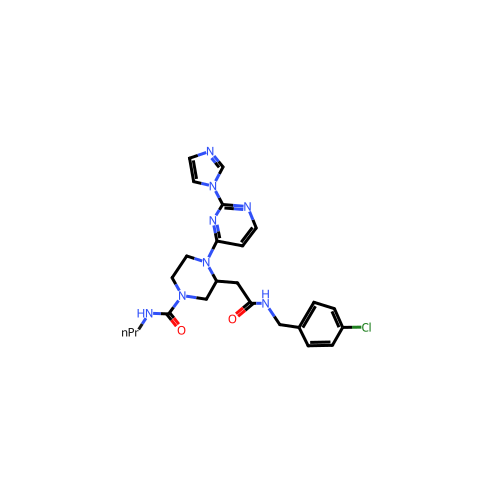 CCCNC(=O)N1CCN(c2ccnc(-n3ccnc3)n2)C(CC(=O)NCc2ccc(Cl)cc2)C1